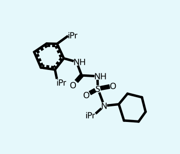 CC(C)c1cccc(C(C)C)c1NC(=O)NS(=O)(=O)N(C(C)C)C1CCCCC1